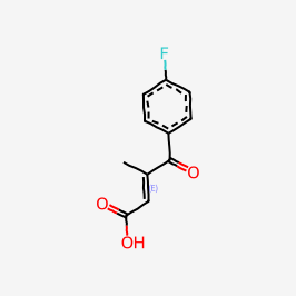 C/C(=C\C(=O)O)C(=O)c1ccc(F)cc1